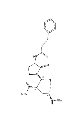 COC(=O)[C@@H]1C[C@H](NC(C)(C)C)CC[C@@H]1N1CCC(NC(=O)OCc2ccccc2)C1=O